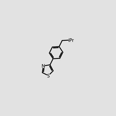 CC(C)Cc1ccc(-c2cscn2)cc1